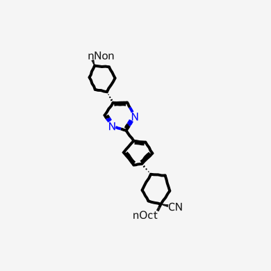 CCCCCCCCC[C@H]1CC[C@H](c2cnc(-c3ccc([C@H]4CC[C@@](C#N)(CCCCCCCC)CC4)cc3)nc2)CC1